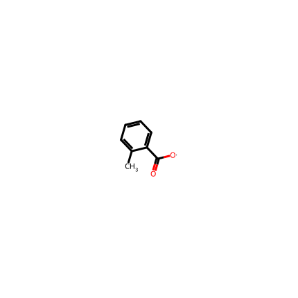 Cc1ccccc1C([O])=O